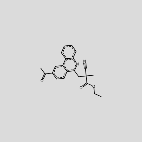 CCOC(=O)C(C)(C#N)Cc1nc2ccccc2c2cc(C(C)=O)ccc12